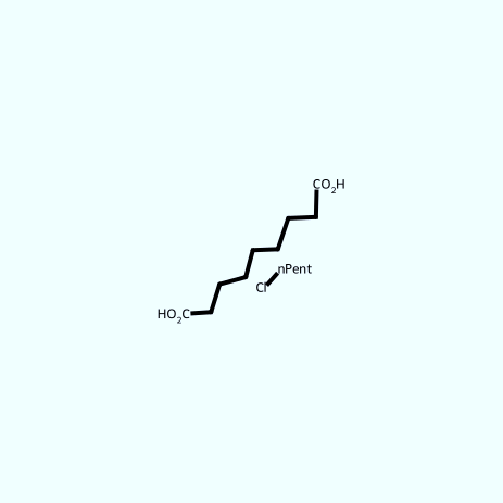 CCCCCCl.O=C(O)CCCCCCCC(=O)O